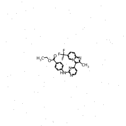 CCOC(=O)c1ccc(Nc2nccc(-c3c(C)nc4ccc(C(F)(F)F)cn34)n2)cc1